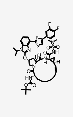 CC(C)n1c(O[C@@H]2C[C@H]3C(=O)N[C@]4(C(=O)NS(=O)(=O)N(C)C)C[C@H]4/C=C\CCCCC[C@H](NC(=O)OC(C)(C)C)C(=O)N3C2)nc2c(-c3nc(-c4ccc(F)c(F)c4)cs3)cccc21